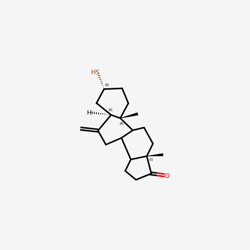 C=C1CC2C3CCC(=O)[C@@]3(C)CCC2[C@@]2(C)CC[C@@H](S)C[C@H]12